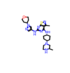 Cc1nsc2nc(Nc3cnn(C4CCOCC4)c3)nc(N[C@H]3CC[C@H](N4CCNC(C)C4)CC3)c12